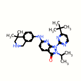 CC(C)n1c(=O)c2ccc(Nc3ccc4c(c3)CNCC4(C)C)nc2n1-c1nccc(C(C)(C)C)n1